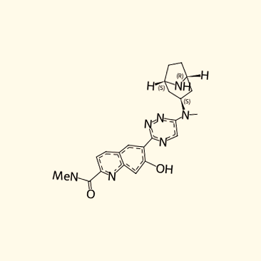 CNC(=O)c1ccc2cc(-c3ncc(N(C)[C@@H]4C[C@H]5CC[C@@H](C4)N5)nn3)c(O)cc2n1